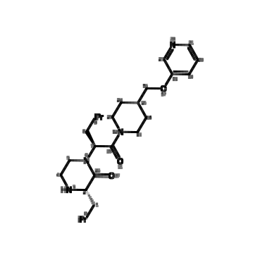 CC(C)C[C@@H]1NCCN([C@@H](CC(C)C)C(=O)N2CCC(COc3cccnc3)CC2)C1=O